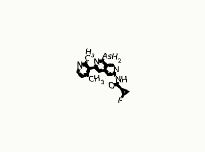 Cc1ccnc(C)c1-c1cc2cc(NC(=O)C3CC3F)ncc2c([AsH2])n1